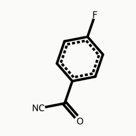 N#CC(=O)c1ccc(F)cc1